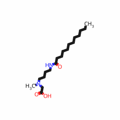 CCCCCCCCCCCC(=O)NCCCCN(C)CC(=O)O